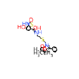 C[C@@H](CN(CCSCCCNC[C@H](O)c1ccc(O)c2[nH]c(=O)sc12)C(=O)OC(C)(C)C)c1ccccc1